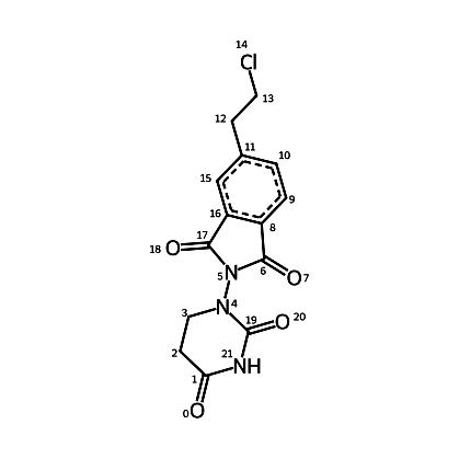 O=C1CCN(N2C(=O)c3ccc(CCCl)cc3C2=O)C(=O)N1